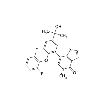 Cn1cc(-c2cc(C(C)(C)O)ccc2Oc2c(F)cccc2F)c2sccc2c1=O